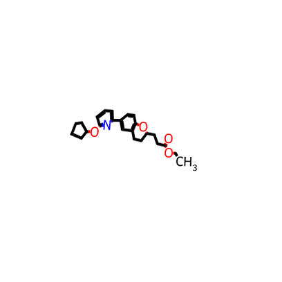 CCOC(=O)CCC1CCc2cc(-c3cccc(OC4CCCC4)n3)ccc2O1